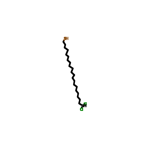 SCCCCCCCCCCCCCCCCCCCCC[SiH](Cl)Cl